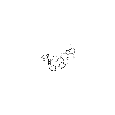 Cc1ccc(-c2ccncc2)cc1CN(C(=O)c1sc2c(F)ccc(F)c2c1Cl)[C@H]1CC[C@H](NC(=O)OC(C)(C)C)CC1